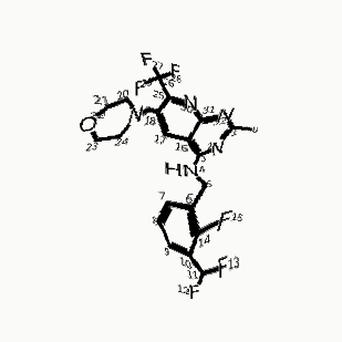 Cc1nc(NCc2cccc(C(F)F)c2F)c2cc(N3CCOCC3)c(C(F)(F)F)nc2n1